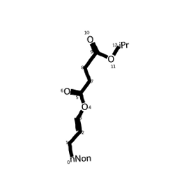 CCCCCCCCCCC=COC(=O)CCC(=O)OC(C)C